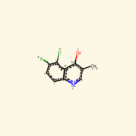 Cc1cnc2ccc(F)c(Cl)c2c1O